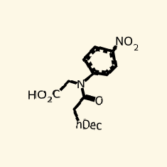 CCCCCCCCCCCC(=O)N(CC(=O)O)c1ccc([N+](=O)[O-])cc1